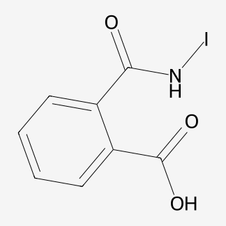 O=C(O)c1ccccc1C(=O)NI